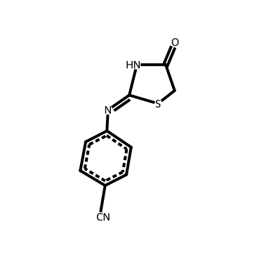 N#Cc1ccc(/N=C2/NC(=O)CS2)cc1